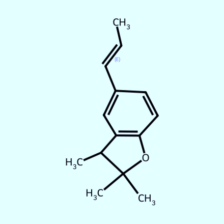 C/C=C/c1ccc2c(c1)C(C)C(C)(C)O2